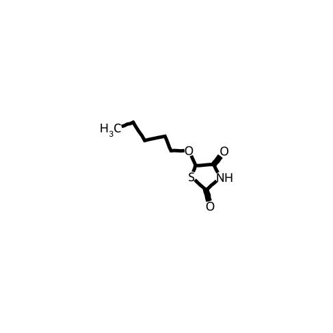 CCCCCOC1SC(=O)NC1=O